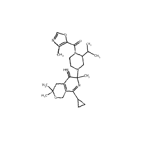 Cc1ncoc1C(=O)N1CCN(C2(C)N=C(C3CC3)C3=C(CC(C)(C)OC3)C2=N)CC1C(C)C